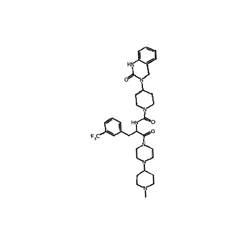 CN1CCC(N2CCN(C(=O)C(Cc3cccc(C(F)(F)F)c3)NC(=O)N3CCC(N4Cc5ccccc5NC4=O)CC3)CC2)CC1